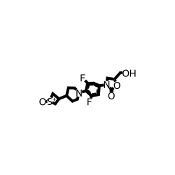 O=C1OC(CO)CN1c1cc(F)c(N2CCC(C3C[S+]([O-])C3)CC2)c(F)c1